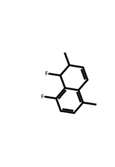 Cc1ccc(F)c2c1C=CC(C)C2F